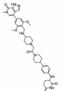 COc1cc(-c2cn(C)c(=O)c3[nH]ncc23)cc(OC)c1CNC1CCN(CC(=O)N2CCC(c3ccc(NC4CCC(=O)NC4=O)cc3)CC2)CC1